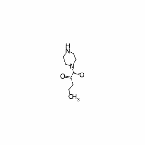 CCCC(=O)C(=O)N1CCNCC1